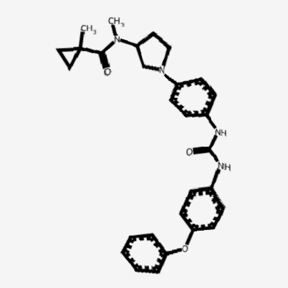 CN(C(=O)C1(C)CC1)C1CCN(c2ccc(NC(=O)Nc3ccc(Oc4ccccc4)cc3)cc2)C1